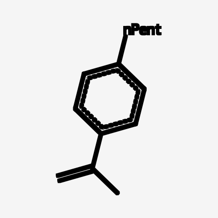 C=C(C)c1ccc(CCCCC)cc1